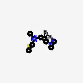 CC1(C)c2ccc(-c3nc(-c4ccccc4)nc(-c4ccc5c(c4)sc4ccccc45)n3)cc2-c2ccc(-n3c4ccccc4c4cccnc43)cc21